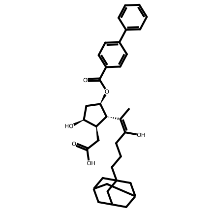 CC(=C(O)CCCC12CC3CC(CC(C3)C1)C2)[C@@H]1[C@@H](CC(=O)O)[C@@H](O)C[C@H]1OC(=O)c1ccc(-c2ccccc2)cc1